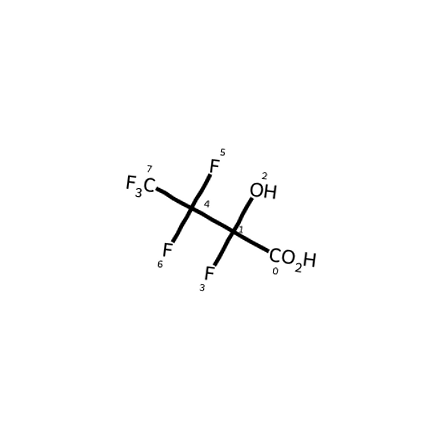 O=C(O)C(O)(F)C(F)(F)C(F)(F)F